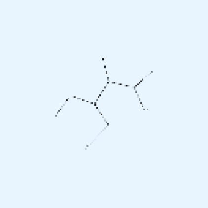 [CH2]C(C)C(C)C(CC)CC